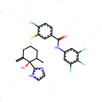 C=C1C[C@H](Sc2cc(C(=O)Nc3cc(F)c(F)c(F)c3)ccc2Cl)CC(C)[C@]1(O)c1ncc[nH]1